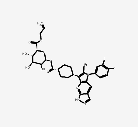 C=CCOC(=O)[C@H]1O[C@@H](OC(=O)[C@H]2CC[C@H](c3c(C(C)C)n(-c4ccc(F)c(F)c4)c4cc5cn[nH]c5nc43)CC2)[C@H](O)[C@@H](O)[C@@H]1O